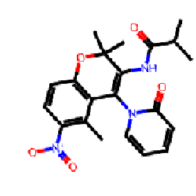 Cc1c([N+](=O)[O-])ccc2c1C(n1ccccc1=O)=C(NC(=O)C(C)C)C(C)(C)O2